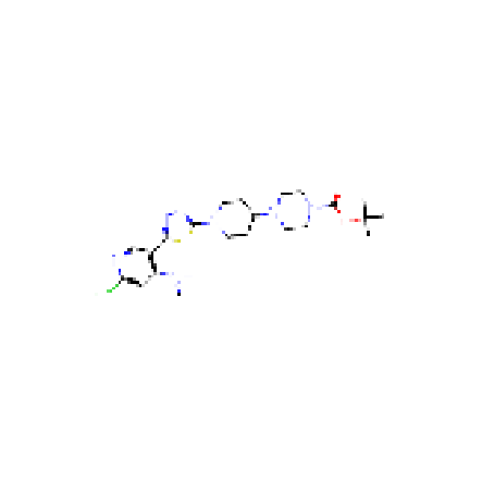 CNc1cc(Cl)ncc1-c1nnc(N2CCC(N3CCN(C(=O)OC(C)(C)C)CC3)CC2)s1